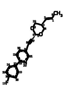 CC=C[C@H]1CO[C@H](C#Cc2ccc(-c3ccc(F)cc3)nc2)OC1